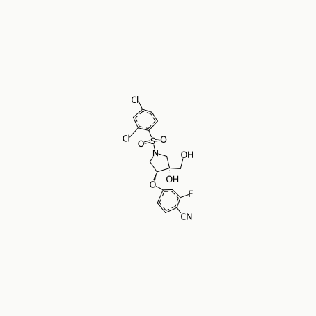 N#Cc1ccc(O[C@H]2CN(S(=O)(=O)c3ccc(Cl)cc3Cl)C[C@@]2(O)CO)cc1F